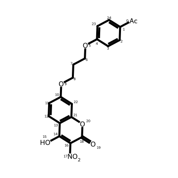 CC(=O)c1ccc(OCCCOc2ccc3c(O)c([N+](=O)[O-])c(=O)oc3c2)cc1